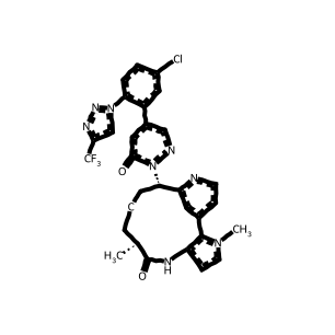 C[C@@H]1CCC[C@H](n2ncc(-c3cc(Cl)ccc3-n3cc(C(F)(F)F)nn3)cc2=O)c2cc(ccn2)-c2c(ccn2C)NC1=O